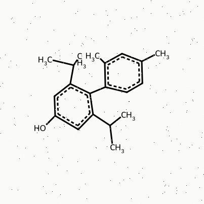 Cc1ccc(-c2c(C(C)C)cc(O)cc2C(C)C)c(C)c1